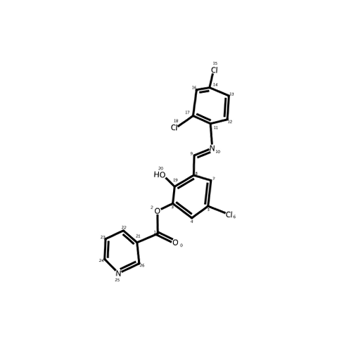 O=C(Oc1cc(Cl)cc(C=Nc2ccc(Cl)cc2Cl)c1O)c1cccnc1